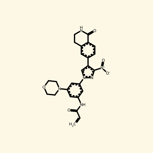 C=CC(=O)Nc1cc(N2CCOCC2)cc(-n2cc(-c3ccc4c(c3)CCNC4=O)c([N+](=O)[O-])n2)c1